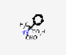 C[C@@](NC=O)(C(=O)O)c1ccccc1